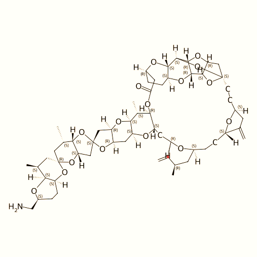 C=C1C[C@@H]2CC[C@@]34C[C@H]5O[C@H]6[C@@H](O3)[C@H]3O[C@H](CC[C@@H]3O[C@H]6[C@H]5O4)CC(=O)O[C@@H]3[C@@H](C)[C@@H]4O[C@@H]5C[C@]6(C[C@@H]7O[C@]8(C[C@H](C)[C@@H]9O[C@H](CN)CC[C@@H]9O8)C[C@H](C)[C@@H]7O6)O[C@@H]5C[C@@H]4O[C@H]3C[C@H]3O[C@@H](CC[C@@H]1O2)C[C@@H](C)C3=C